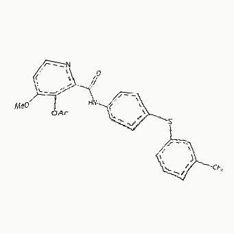 COc1ccnc(C(=O)Nc2ccc(Sc3cccc(C(F)(F)F)c3)cc2)c1OC(C)=O